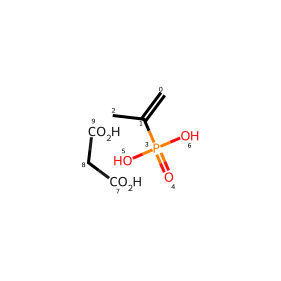 C=C(C)P(=O)(O)O.O=C(O)CC(=O)O